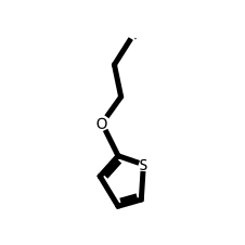 [CH2]CCOc1cccs1